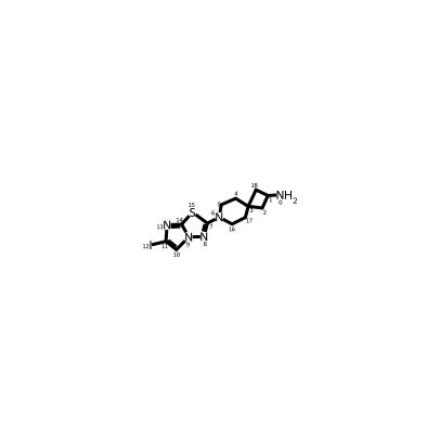 NC1CC2(CCN(c3nn4cc(I)nc4s3)CC2)C1